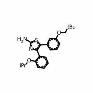 CC(C)Oc1ccccc1-c1nc(N)sc1-c1cccc(OCC(C)(C)C)c1